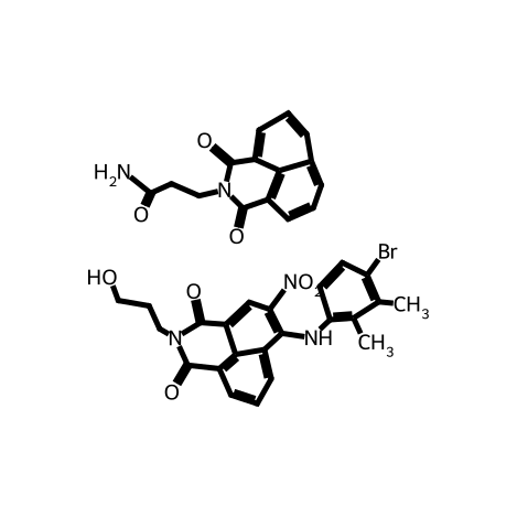 Cc1c(Br)ccc(Nc2c([N+](=O)[O-])cc3c4c(cccc24)C(=O)N(CCCO)C3=O)c1C.NC(=O)CCN1C(=O)c2cccc3cccc(c23)C1=O